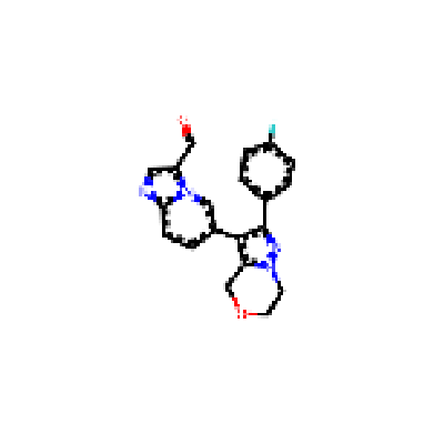 O=Cc1cnc2ccc(-c3c(-c4ccc(F)cc4)nn4c3COCC4)cn12